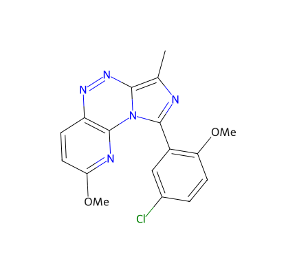 COc1ccc2nnc3c(C)nc(-c4cc(Cl)ccc4OC)n3c2n1